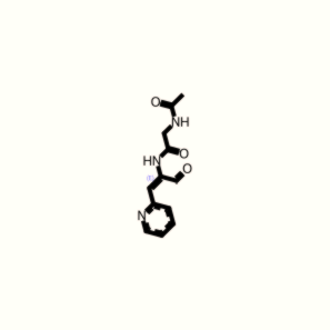 CC(=O)NCC(=O)N/C([C]=O)=C/c1ccccn1